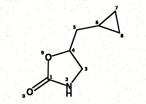 O=C1NCC(CC2CC2)O1